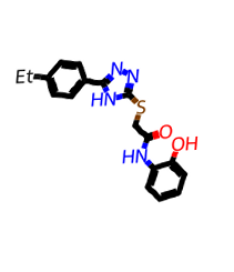 CCc1ccc(-c2nnc(SCC(=O)Nc3ccccc3O)[nH]2)cc1